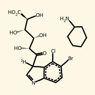 NC1CCCCC1.[2H]C1(C(=O)[C@H](O)[C@@H](O)[C@H](O)[C@H](O)C(=O)O)C=Nc2ccc(Br)c(Cl)c21